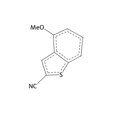 COc1cccc2sc(C#N)cc12